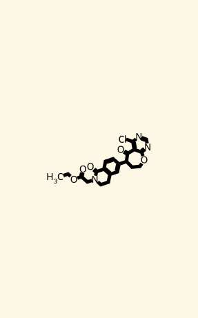 CCOC(=O)CN1CCc2cc(C3CCOc4ncnc(Cl)c4C3=O)ccc2C1=O